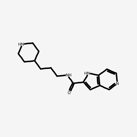 O=C(NCCCC1CCNCC1)c1cc2cnccc2[nH]1